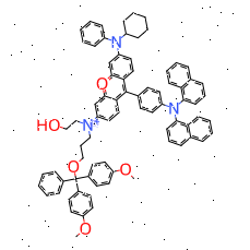 COc1ccc(C(OCCC/[N+](CCO)=c2\ccc3c(-c4ccc(N(c5cccc6ccccc56)c5cccc6ccccc56)cc4)c4ccc(N(c5ccccc5)C5CCCCC5)cc4oc-3c2)(c2ccccc2)c2ccc(OC)cc2)cc1